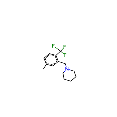 Cc1ccc(C(F)(F)F)c(CN2CCCCC2)c1